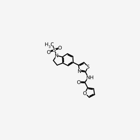 CS(=O)(=O)N1CCc2cc(-c3csc(NC(=O)c4ccco4)n3)ccc21